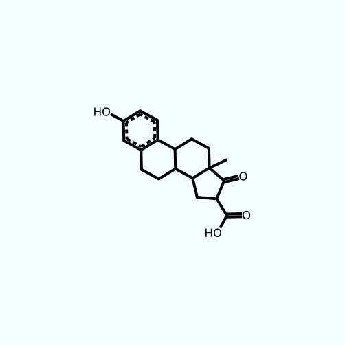 CC12CCC3c4ccc(O)cc4CCC3C1CC(C(=O)O)C2=O